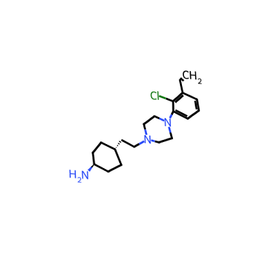 C=Cc1cccc(N2CCN(CC[C@H]3CC[C@H](N)CC3)CC2)c1Cl